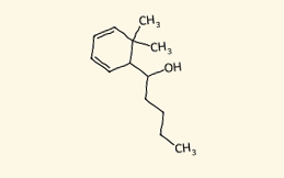 CCCCC(O)C1C=CC=CC1(C)C